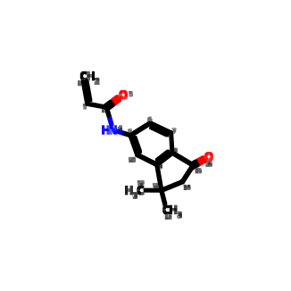 C=CC(=O)Nc1ccc2c(c1)C(C)(C)CC2=O